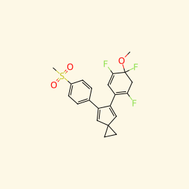 COC1(F)CC(F)=C(C2=CC3(C=C2c2ccc(S(C)(=O)=O)cc2)CC3)C=C1F